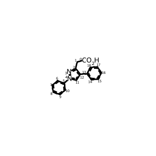 O=C(O)Cc1nn(-c2ccccc2)cc1-c1ccccc1